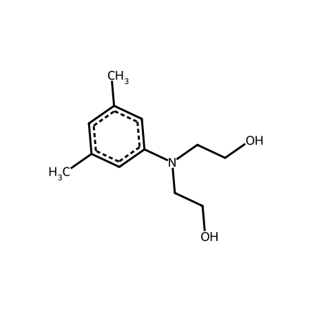 Cc1cc(C)cc(N(CCO)CCO)c1